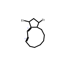 CCC1CC(CC)C2CCCCCC/C=C/C=C/12